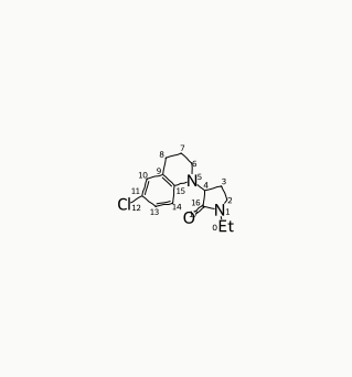 CCN1CCC(N2CCCc3cc(Cl)ccc32)C1=O